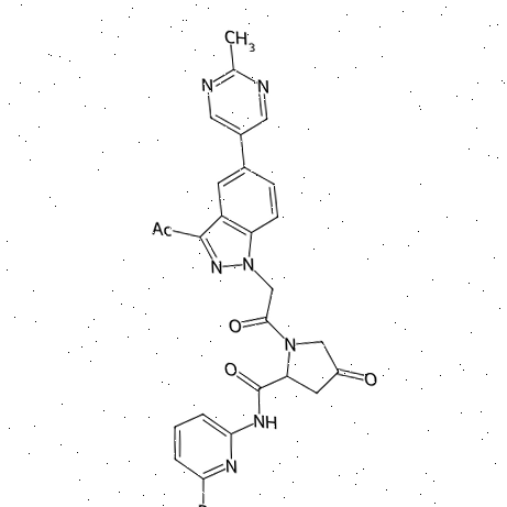 CC(=O)c1nn(CC(=O)N2CC(=O)CC2C(=O)Nc2cccc(Br)n2)c2ccc(-c3cnc(C)nc3)cc12